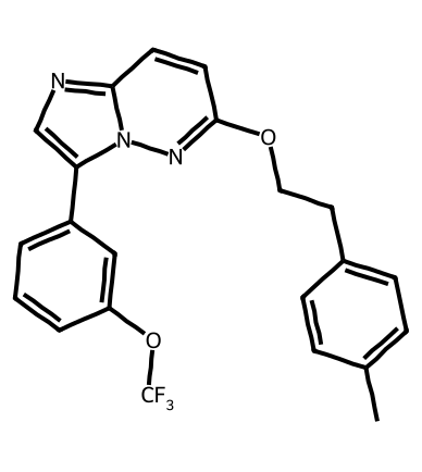 Cc1ccc(CCOc2ccc3ncc(-c4cccc(OC(F)(F)F)c4)n3n2)cc1